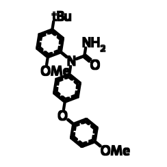 COc1ccc(Oc2ccc(N(C(N)=O)c3cc(C(C)(C)C)ccc3OC)cc2)cc1